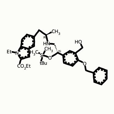 CCOC(=O)c1cc2cc(C[C@@H](C)NC[C@@H](O[Si](C)(C)C(C)(C)C)c3ccc(OCc4ccccc4)c(CO)c3)ccc2n1CC